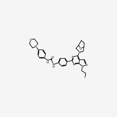 O=C(Nc1ccc(-c2nc(N3CC4CCC(C3)O4)c3cnn(CCF)c3n2)cc1)Nc1ccc(N2CCOCC2)cc1